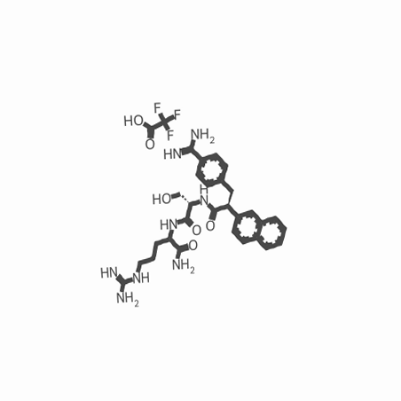 N=C(N)NCCCC(NC(=O)[C@H](CO)NC(=O)[C@@H](Cc1ccc(C(=N)N)cc1)c1ccc2ccccc2c1)C(N)=O.O=C(O)C(F)(F)F